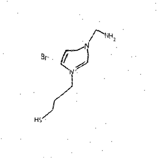 NCn1cc[n+](CCCS)c1.[Br-]